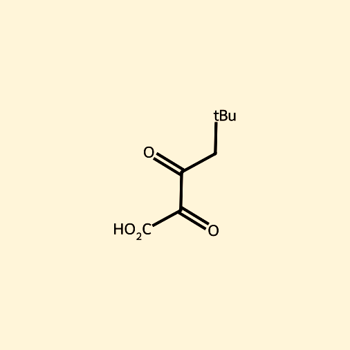 CC(C)(C)CC(=O)C(=O)C(=O)O